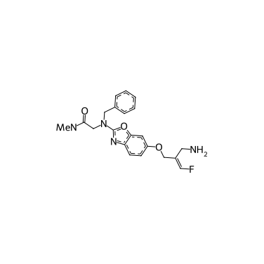 CNC(=O)CN(Cc1ccccc1)c1nc2ccc(OC/C(=C/F)CN)cc2o1